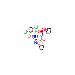 O=C(NCC1=NOC(Cc2ccccc2)(C(=O)N[C@@H](Cc2ccccc2)B(O)O)C1)c1cc(Cl)ccc1Cl